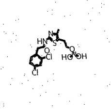 Cc1nc(NC(=O)Cc2ccc(Cl)cc2Cl)sc1CCON(O)O